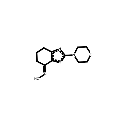 ON=C1CCCc2nc(N3CCOCC3)sc21